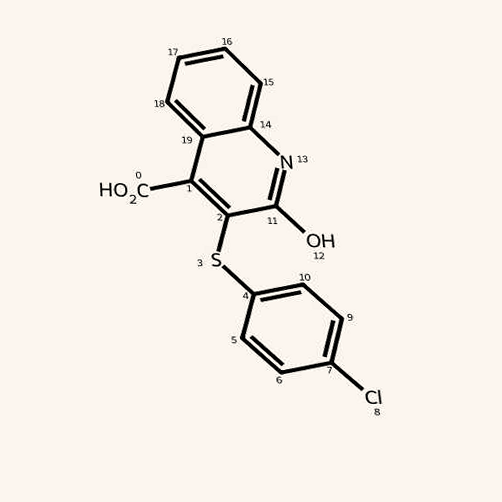 O=C(O)c1c(Sc2ccc(Cl)cc2)c(O)nc2ccccc12